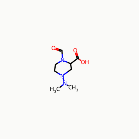 CN(C)N1CCN(C=O)C(C(=O)O)C1